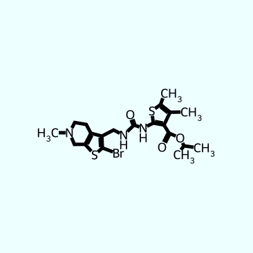 Cc1sc(NC(=O)NCc2c(Br)sc3c2CCN(C)C3)c(C(=O)OC(C)C)c1C